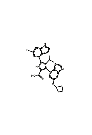 CC(C)c1c(-c2cc(F)cc3[nH]ccc23)[nH]c(C(=O)O)c1-c1cc(OC2CCC2)cc2[nH]ccc12